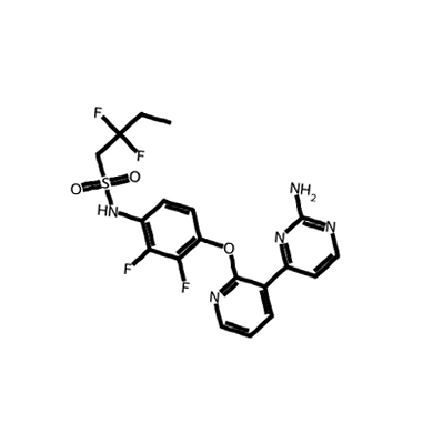 CCC(F)(F)CS(=O)(=O)Nc1ccc(Oc2ncccc2-c2ccnc(N)n2)c(F)c1F